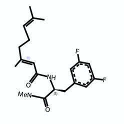 CNC(=O)[C@H](Cc1cc(F)cc(F)c1)NC(=O)/C=C(\C)CCC=C(C)C